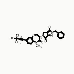 CN1C(=O)[C@@H](N2Cc3c(nn(Cc4ccccc4)c3Cl)C2=O)COc2cc(C#CC(C)(C)O)ccc21